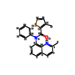 Cc1ccc2cccc(N(C(=O)c3sccc3C)c3ccccc3)c2n1